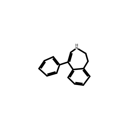 C1=C(c2ccccc2)c2ccccc2CCN1